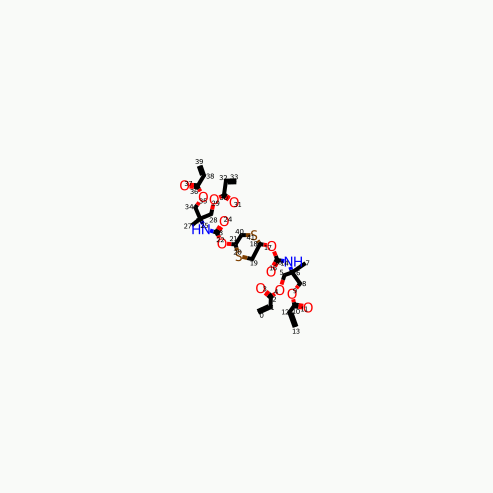 C=CC(=O)OCC(C)(COC(=O)C=C)NC(=O)OC1CSC(OC(=O)NC(C)(COC(=O)C=C)COC(=O)C=C)CS1